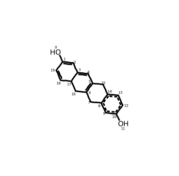 OC1=CC2=CC3=C(Cc4cc(O)ccc4C3)CC2C=C1